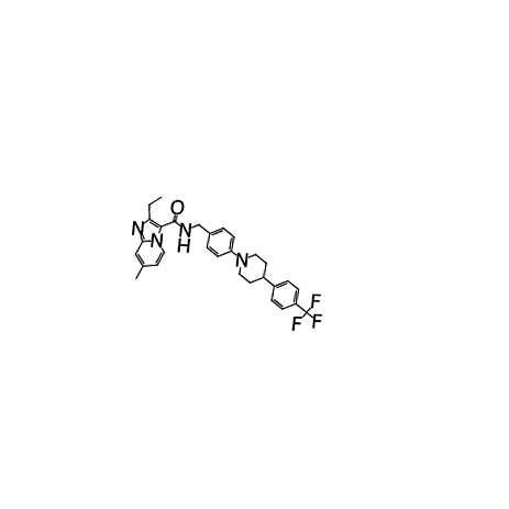 CCc1nc2cc(C)ccn2c1C(=O)NCc1ccc(N2CCC(c3ccc(C(F)(F)F)cc3)CC2)cc1